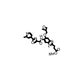 COC(=O)CCc1nc2cc(OCC3COC3)c(NC(=O)c3coc(-c4ccnc(C)c4)n3)cc2n1C